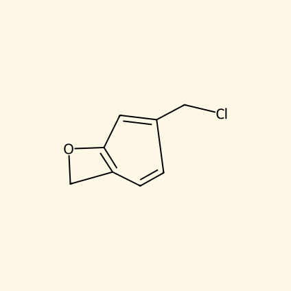 ClCc1ccc2c(c1)OC2